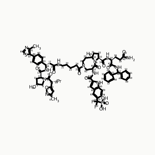 Cc1cc([C@H](C(=O)N2C[C@H](O)C[C@H]2C(=O)N[C@@H](CC(=O)NCCCCC(=O)N2CC[C@H]3CC[C@@H](C(=O)N[C@@H](CCC(N)=O)C(=O)NC(c4ccccc4)c4ccccc4)N3C(=O)[C@@H](NC(=O)c3cc4cc(C(F)(F)P(=O)(O)O)ccc4[nH]3)C2)c2ccc(-c3scnc3C)cc2)C(C)C)on1